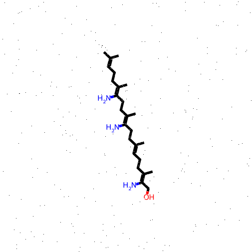 CC(C)=CCC/C(C)=C(\N)CC/C(C)=C(\N)CC/C(C)=C/CC/C(C)=C(\N)CO